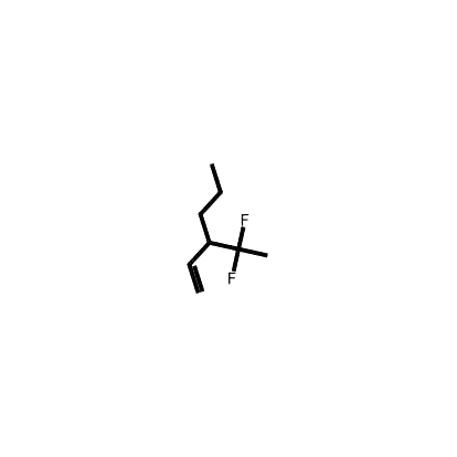 C=CC(CCC)C(C)(F)F